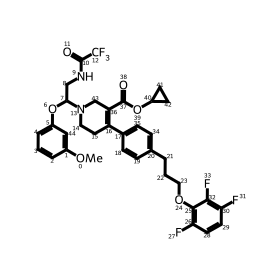 COc1cccc(OC(CNC(=O)C(F)(F)F)N2CCC(c3ccc(CCCOc4c(F)ccc(F)c4F)cc3)=C(C(=O)OC3CC3)C2)c1